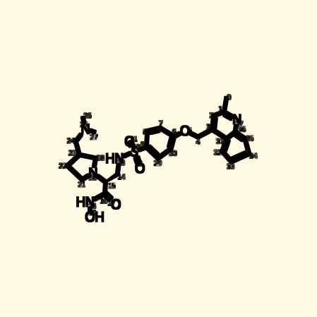 Cc1cc(COc2ccc(S(=O)(=O)NC[C@@H](C(=O)NO)N3CCC(CN(C)C)C3)cc2)c2ccccc2n1